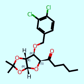 CCCCC(=O)[C@H]1O[C@@H]2OC(C)(C)O[C@@H]2[C@H]1OCc1ccc(Cl)c(Cl)c1